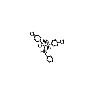 O=S(=O)(C(=CNCc1ccccc1)S(=O)(=O)c1ccc(Cl)cc1)c1ccc(Cl)cc1